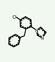 Clc1ccc(-n2ccnc2)c(Cc2ccccc2)c1